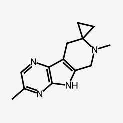 Cc1cnc2c3c([nH]c2n1)CN(C)C1(CC1)C3